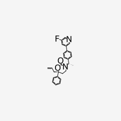 C=CC[C@]1(c2ccccc2)CCN([C@@H](C)c2ccc(-c3cncc(F)c3)cc2)C(=O)O1